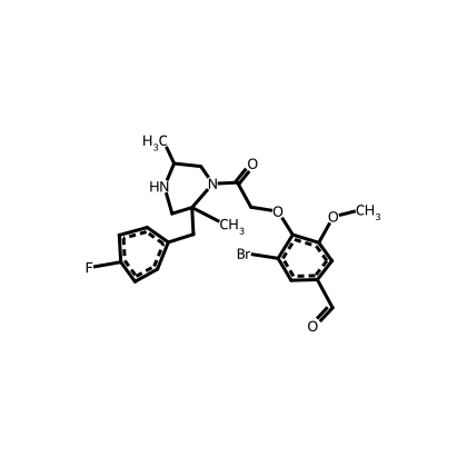 COc1cc(C=O)cc(Br)c1OCC(=O)N1CC(C)NCC1(C)Cc1ccc(F)cc1